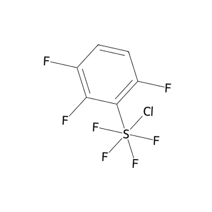 Fc1ccc(F)c(S(F)(F)(F)(F)Cl)c1F